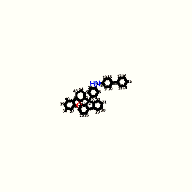 C1=C(C2(c3ccc(Nc4ccc(-c5ccccc5)cc4)cc3)c3ccccc3-c3ccccc32)c2oc3ccccc3c2CC1